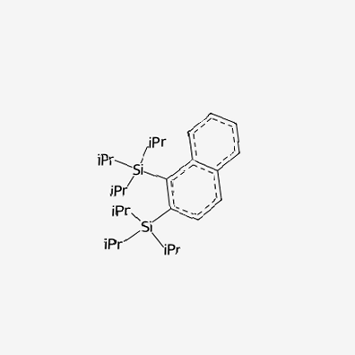 CC(C)[Si](c1ccc2ccccc2c1[Si](C(C)C)(C(C)C)C(C)C)(C(C)C)C(C)C